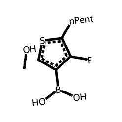 CCCCCc1scc(B(O)O)c1F.CO